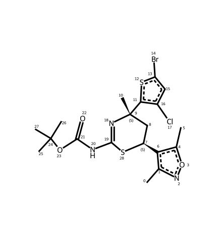 Cc1noc(C)c1[C@@H]1C[C@@](C)(c2sc(Br)cc2Cl)N=C(NC(=O)OC(C)(C)C)S1